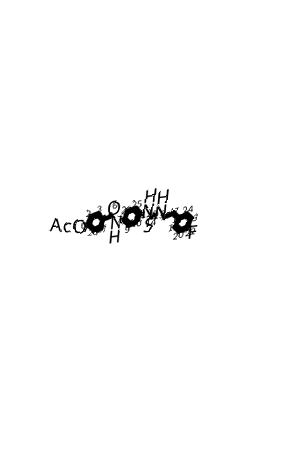 CC(=O)Oc1ccc(C(=O)Nc2ccc(NC(=S)NCCc3ccc(F)cc3)cc2)cc1